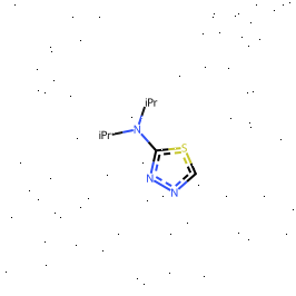 CC(C)N(c1nncs1)C(C)C